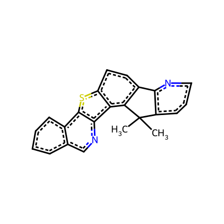 CC1(C)c2cccnc2-c2ccc3sc4c5ccccc5cnc4c3c21